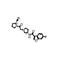 N#C[C@@H]1CCCN1C(=O)CN1CC[C@H](NC(=O)c2coc3cc(F)ccc23)C1